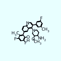 COC1CN(c2c(-c3cc(C)cc(F)c3)cnc3ccc(-c4c(C)c(F)cc(F)c4O)cc23)CCC1N